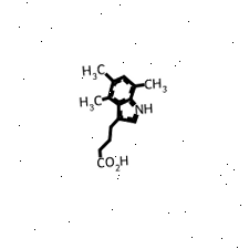 Cc1cc(C)c2[nH]cc(CCCC(=O)O)c2c1C